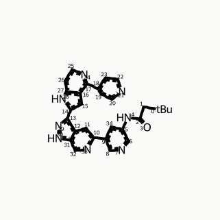 CC(C)(C)CC(=O)Nc1cncc(-c2cc3c(-c4cc5c(-c6ccncc6)nccc5[nH]4)n[nH]c3cn2)c1